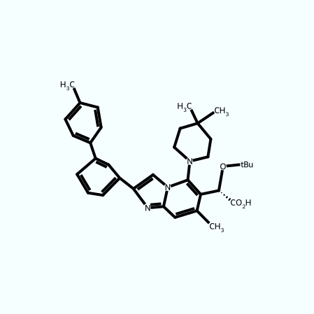 Cc1ccc(-c2cccc(-c3cn4c(N5CCC(C)(C)CC5)c([C@H](OC(C)(C)C)C(=O)O)c(C)cc4n3)c2)cc1